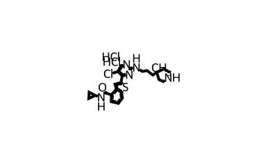 CC1(CCCNc2ncc(Cl)c(-c3cc4c(C(=O)NC5CC5)cccc4s3)n2)CCNCC1.Cl.Cl